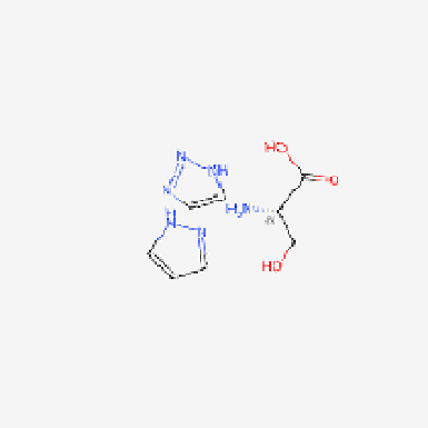 N[C@@H](CO)C(=O)O.c1c[nH]nn1.c1cn[nH]c1